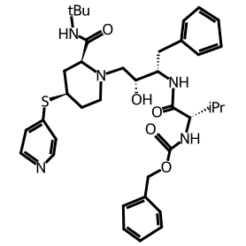 CC(C)[C@H](NC(=O)OCc1ccccc1)C(=O)N[C@@H](Cc1ccccc1)[C@H](O)CN1CC[C@@H](Sc2ccncc2)C[C@H]1C(=O)NC(C)(C)C